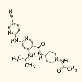 CC(=O)NN1CCC(NC(=O)c2cnc(Nc3ccc(C#N)cn3)cc2NC(C)C)CC1